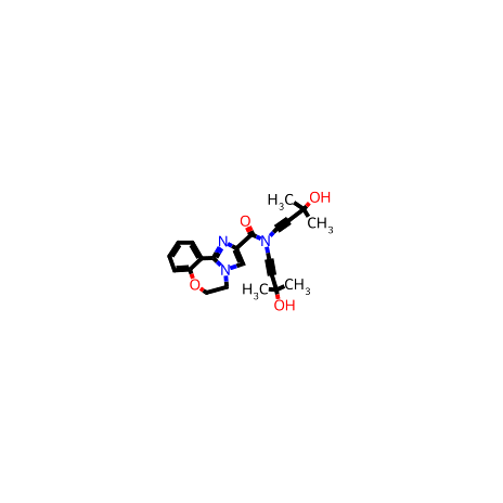 CC(C)(O)C#CN(C#CC(C)(C)O)C(=O)c1cn2c(n1)-c1ccccc1OCC2